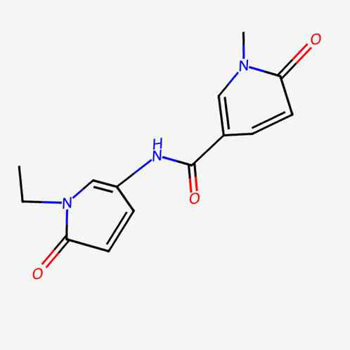 CCn1cc(NC(=O)c2ccc(=O)n(C)c2)ccc1=O